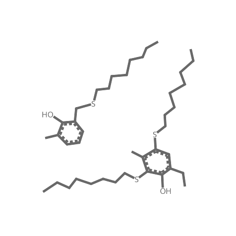 CCCCCCCCSCc1cccc(C)c1O.CCCCCCCCSc1cc(CC)c(O)c(SCCCCCCCC)c1C